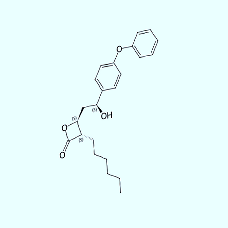 CCCCCC[C@@H]1C(=O)O[C@H]1C[C@H](O)c1ccc(Oc2ccccc2)cc1